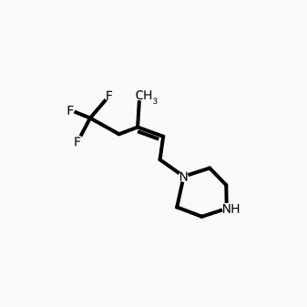 CC(=CCN1CCNCC1)CC(F)(F)F